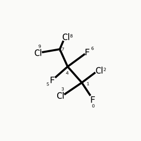 FC(Cl)(Cl)C(F)(F)[C](Cl)Cl